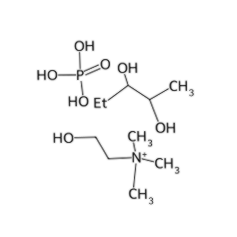 CCC(O)C(C)O.C[N+](C)(C)CCO.O=P(O)(O)O